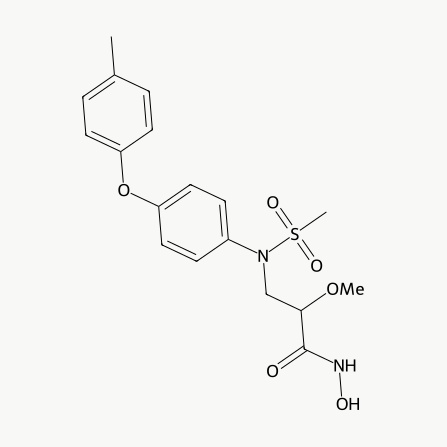 COC(CN(c1ccc(Oc2ccc(C)cc2)cc1)S(C)(=O)=O)C(=O)NO